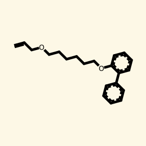 C=CCOCCCCCCOc1ccccc1-c1ccccc1